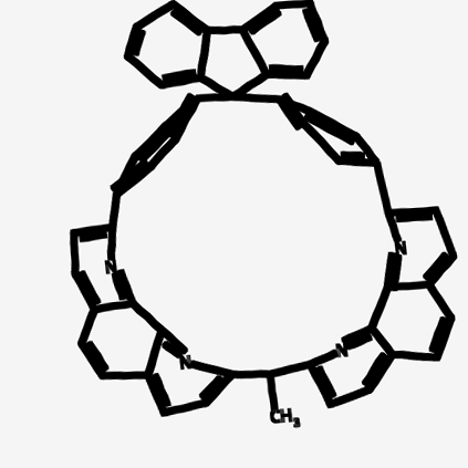 CC1c2ccc3ccc4ccc(nc4c3n2)-c2ccc(cc2)C2(c3ccc(cc3)-c3ccc4ccc5ccc1nc5c4n3)c1ccccc1-c1ccccc12